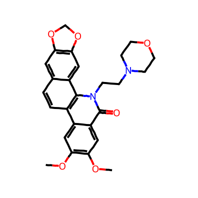 COc1cc2c(=O)n(CCN3CCOCC3)c3c4cc5c(cc4ccc3c2cc1OC)OCO5